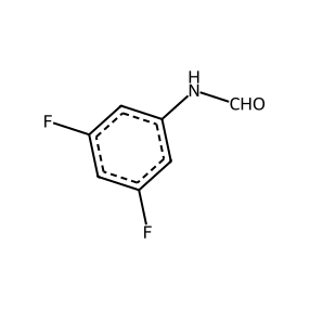 O=CNc1cc(F)cc(F)c1